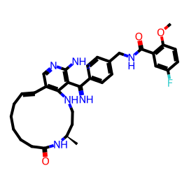 COc1ccc(F)cc1C(=O)NCc1ccc(C(=N)c2c(N)ncc3c2NCC[C@@H](C)NC(=O)CCCCC/C=C/3)cc1